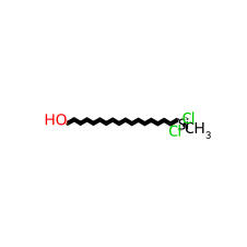 C[Si](Cl)(Cl)CCCCCCCCCCCCCCCCCCO